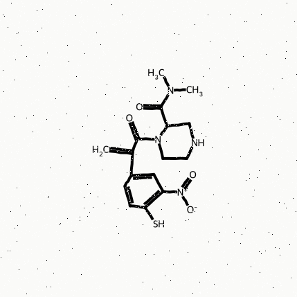 C=C(C(=O)N1CCNCC1C(=O)N(C)C)c1ccc(S)c([N+](=O)[O-])c1